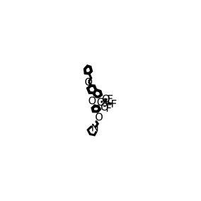 O=S(=O)(Oc1ccc2cc(OCc3ccccc3)ccc2c1Oc1ccc(OCCN2CCCCC2)cc1)C(F)(F)F